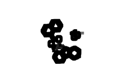 C[O-].C[O-].O=C([O][Ti+2][CH]1CCCC2=C1CC1=C2CCCC1)c1cccc2ccccc12